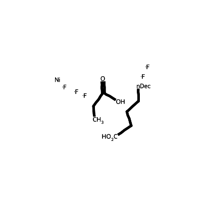 CCC(=O)O.CCCCCCCCCCCCCC(=O)O.[F].[F].[F].[F].[F].[Ni]